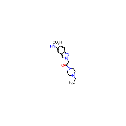 O=C(O)Nc1ccc2nn(CC(=O)N3CCN(CC(F)(F)F)CC3)cc2c1